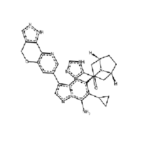 Nc1c(C2CC2)c([C@@H]2C[C@H]3CC[C@@H](C2)N3C(=O)c2nnc[nH]2)nc2c(-c3cnc4c(c3)OCc3cn[nH]c3-4)cnn12